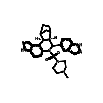 CN1CCN(S(=O)(=O)N2c3ccc4[nH]ncc4c3[C@H]3C4CCC(C4)[C@H]3C2c2ccc3[nH]ncc3c2)CC1